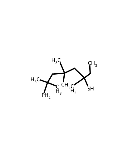 CCC(C)(S)CC(C)(C)CC(C)(C)P